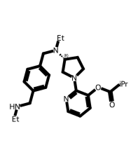 CCNCc1ccc(CN(CC)[C@@H]2CCN(c3ncccc3OC(=O)C(C)C)C2)cc1